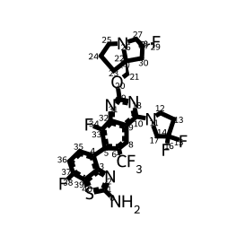 Nc1nc2c(-c3c(C(F)(F)F)cc4c(N5CCC(F)(F)C5)nc(OC[C@@]56CCCN5C[C@H](F)C6)nc4c3F)ccc(F)c2s1